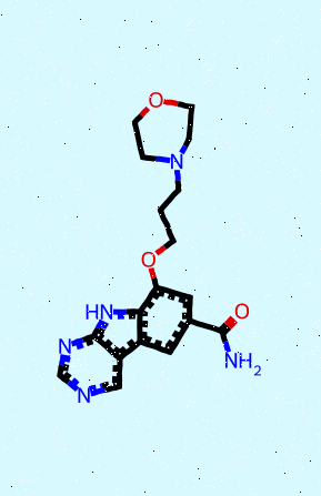 NC(=O)c1cc(OCCCN2CCOCC2)c2[nH]c3ncncc3c2c1